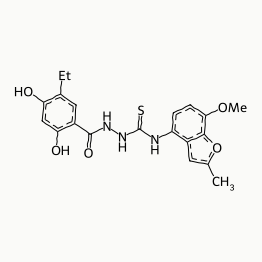 CCc1cc(C(=O)NNC(=S)Nc2ccc(OC)c3oc(C)cc23)c(O)cc1O